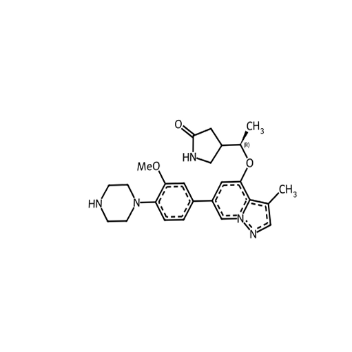 COc1cc(-c2cc(O[C@H](C)C3CNC(=O)C3)c3c(C)cnn3c2)ccc1N1CCNCC1